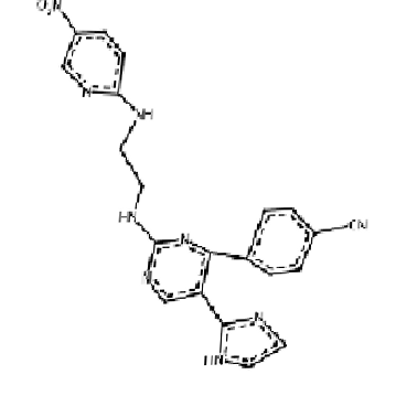 N#Cc1ccc(-c2nc(NCCNc3ccc([N+](=O)[O-])cn3)ncc2-c2ncc[nH]2)cc1